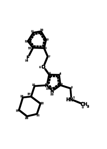 CNCc1cc(OCc2ccccc2F)n(CC2CCCCC2)n1